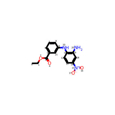 CCOC(=O)c1cccc(Nc2ccc([N+](=O)[O-])cc2N)c1